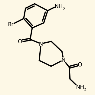 NCC(=O)N1CCN(C(=O)c2cc(N)ccc2Br)CC1